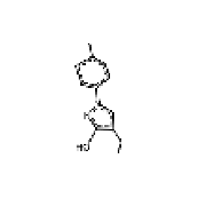 CCc1cn(-c2ccc(C)cc2)nc1O